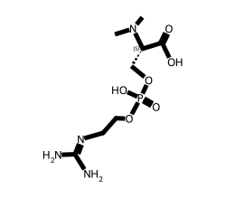 CN(C)[C@@H](COP(=O)(O)OCCN=C(N)N)C(=O)O